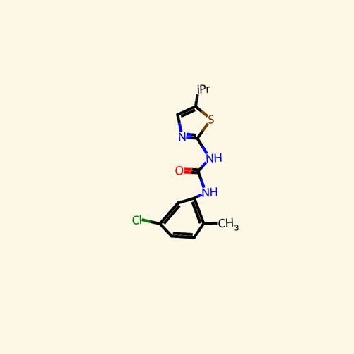 Cc1ccc(Cl)cc1NC(=O)Nc1ncc(C(C)C)s1